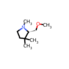 COC[C@H]1N(C)CCC1(C)C